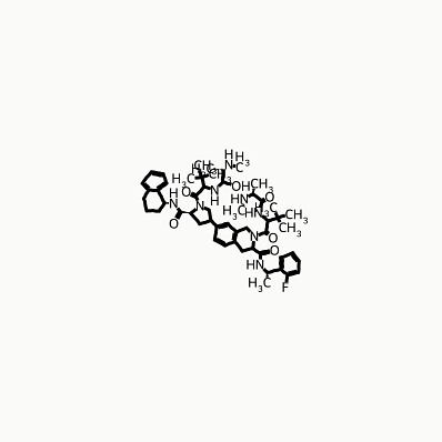 CN[C@@H](C)C(=O)NC(C(=O)N1Cc2cc(C3C[C@@H](C(=O)N[C@@H]4CCCc5ccccc54)N(C(=O)C(NC(O)[C@H](C)NC)C(C)(C)C)C3)ccc2CC1C(=O)N[C@H](C)c1ccccc1F)C(C)(C)C